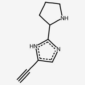 C#Cc1cnc(C2CCCN2)[nH]1